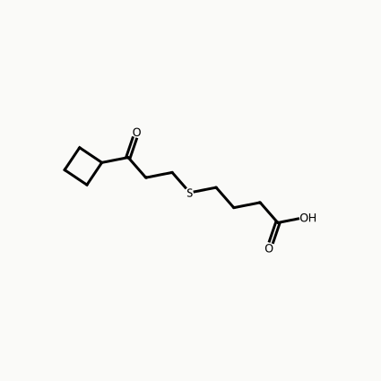 O=C(O)CCCSCCC(=O)C1CCC1